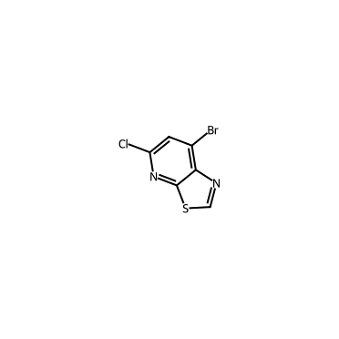 Clc1cc(Br)c2ncsc2n1